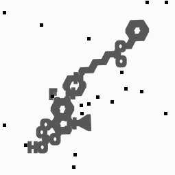 O=C(O)Oc1cn(C2CC2)c2cc(N3CCN(CCCCCC(=O)OCc4ccccc4)CC3)c(F)cc2c1=O